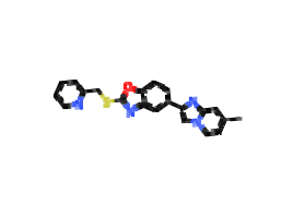 Cc1ccn2cc(-c3ccc4oc(SCc5ccccn5)nc4c3)nc2c1